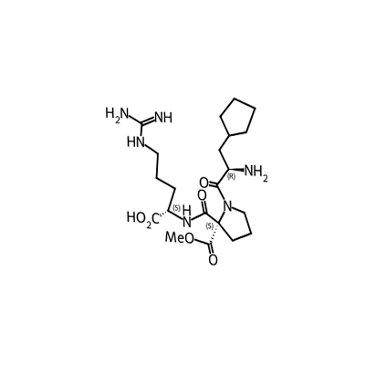 COC(=O)[C@@]1(C(=O)N[C@@H](CCCNC(=N)N)C(=O)O)CCCN1C(=O)[C@H](N)CC1CCCC1